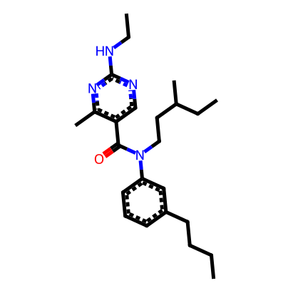 CCCCc1cccc(N(CCC(C)CC)C(=O)c2cnc(NCC)nc2C)c1